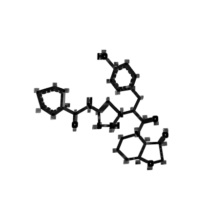 O=C(NC1=CN(C(Cc2ccc(O)cc2)C(=O)N2CCCC3OCC(=O)C32)NS1)c1ccccc1